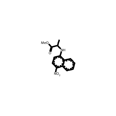 COC(=O)C(C)Nc1ccc([N+](=O)[O-])c2ccccc12